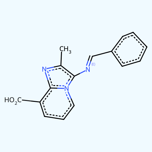 Cc1nc2c(C(=O)O)cccn2c1/N=C/c1ccccc1